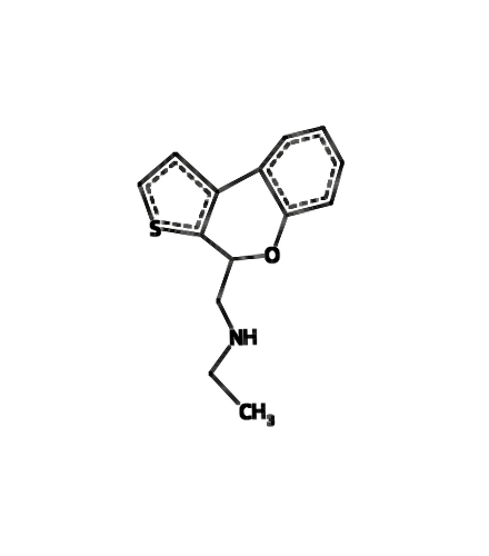 CCNCC1Oc2ccccc2-c2ccsc21